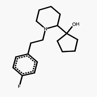 OC1(C2CCCCN2CCc2ccc(F)cc2)CCCC1